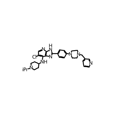 CC(C)N1CCC(Nc2c(Cl)cnc3[nH]c(-c4ccc(N5CCN(Cc6cccnc6)CC5)cc4)nc23)CC1